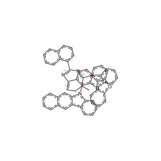 CC1C/C=C(c2ccc3c(oc4ccccc43)c2-n2c3ccccc3c3cc4ccccc4cc32)/N=C(c2cccc3ccccc23)\N=C/1c1cccc2oc3ccccc3c12